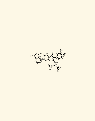 C[C@@H]1C[C@H](O)c2ncnc(N3CCN(C(=O)[C@H](CNC(C4CC4)C4CC4)c4ccc(Cl)c(F)c4)CC3)c21